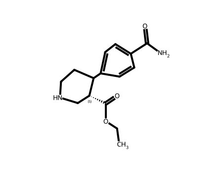 CCOC(=O)[C@@H]1CNCCC1c1ccc(C(N)=O)cc1